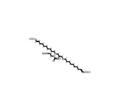 CCCCCCCCC=CCCCCCCCCOCC(COCCCCCCCCC=CCCCCCCCC)NC(=O)OCCNC